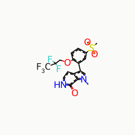 Cn1cc(-c2cc(S(C)(=O)=O)ccc2OCC(F)(F)C(F)(F)F)c2cc[nH]c(=O)c21